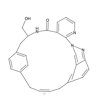 O=C1NC(CO)Cc2ccc(cc2)C/C=C\Cc2ccc3nn(cc3c2)-c2ncccc21